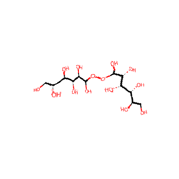 OC[C@@H](O)[C@@H](O)[C@H](O)[C@@H](O)C(O)OOC(O)[C@H](O)[C@@H](O)[C@H](O)[C@H](O)CO